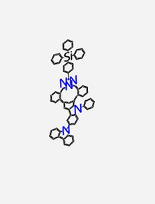 c1ccc(-n2c3ccc(-n4c5ccccc5c5ccccc54)cc3c3cc4cc(c5ccccc5c5nc(-c6ccc([Si](c7ccccc7)(c7ccccc7)c7ccccc7)cc6)nc(n5)c5ccccc45)c32)cc1